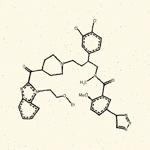 CCOCCn1c(C(=O)C2CCN(CCC(CN(C)C(=O)c3cc(C4C=NN=N4)ccc3OC)c3ccc(Cl)c(Cl)c3)CC2)nc2ccccc21